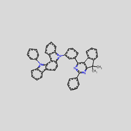 CC1(C)c2ccccc2-c2c(-c3cccc(-n4c5ccccc5c5c4ccc4c6ccccc6n(-c6ccccc6)c45)c3)nc(-c3ccccc3)nc21